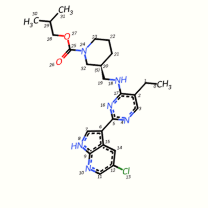 CCc1cnc(-c2c[nH]c3ncc(Cl)cc23)nc1NC[C@@H]1CCCN(C(=O)OCC(C)C)C1